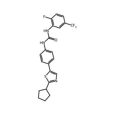 O=C(Nc1ccc(-c2cnc([C]3CCCC3)s2)cc1)Nc1cc(C(F)(F)F)ccc1F